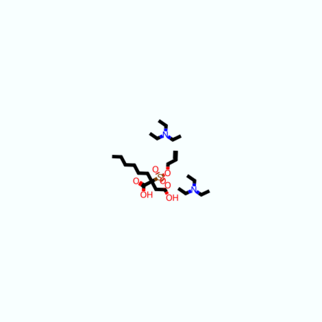 C=CCOS(=O)(=O)C(CCCCCC)(CC(=O)O)C(=O)O.CCN(CC)CC.CCN(CC)CC